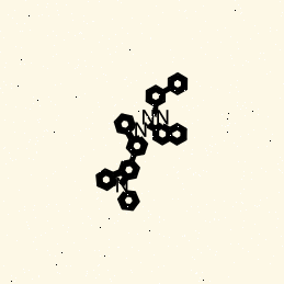 c1ccc(-c2cccc(-c3nc(-n4c5ccccc5c5cc(-c6ccc7c(c6)c6ccccc6n7-c6ccccc6)ccc54)c4ccc5ccccc5c4n3)c2)cc1